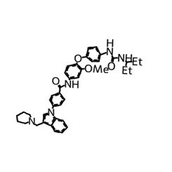 CCC(CC)NC(=O)Nc1ccc(Oc2ccc(NC(=O)c3ccc(-n4cc(CN5CCCCC5)c5ccccc54)cc3)cc2OC)cc1